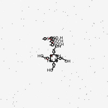 Cc1ccc(S(=O)(=O)O)cc1.Cc1ccc(S(=O)(=O)O)cc1.Cc1ccc(S(=O)(=O)O)cc1.Cc1ccc(S(=O)(=O)O)cc1.OCCCN1C=CC(c2c3nc(c(C4=CCN(CCCO)C=C4)c4ccc([nH]4)c(C4=CCN(CCCO)C=C4)c4nc(c(C5=CCN(CCCO)C=C5)c5ccc2[nH]5)C=C4)C=C3)=CC1